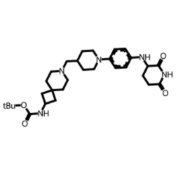 CC(C)(C)OC(=O)NC1CC2(CCN(CC3CCN(c4ccc(NC5CCC(=O)NC5=O)cc4)CC3)CC2)C1